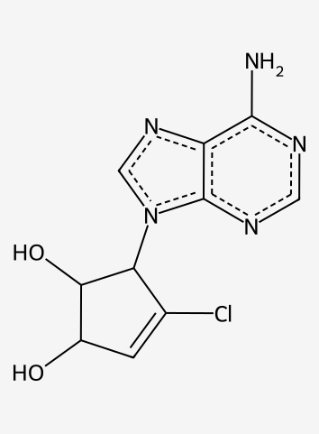 Nc1ncnc2c1ncn2C1C(Cl)=CC(O)C1O